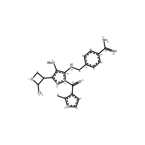 COc1c(C2COC2C(F)(F)F)nn(C(=O)c2ccoc2C)c1NCc1ccc(C(=N)N)cc1